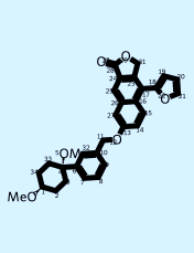 CO[C@H]1CC[C@](OC)(c2cccc(COc3ccc4c(-c5ccco5)c5c(cc4c3)C(=O)OC5)c2)CC1